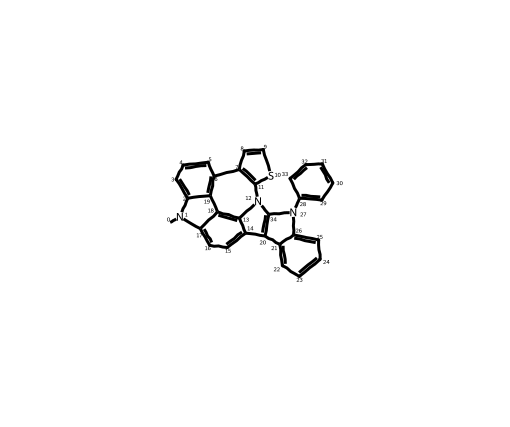 Cn1c2cccc3c4ccsc4n4c5c(ccc1c5c32)c1c2ccccc2n(-c2ccccc2)c14